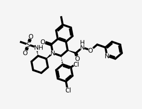 Cc1ccc2c(c1)C(=O)N([C@H]1CCCC[C@@H]1NS(C)(=O)=O)[C@@H](c1ccc(Cl)cc1Cl)[C@@H]2C(=O)NOCc1ccccn1